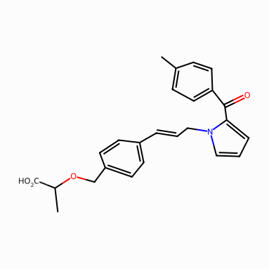 Cc1ccc(C(=O)c2cccn2CC=Cc2ccc(COC(C)C(=O)O)cc2)cc1